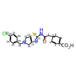 O=C(Cc1ccc(C(=O)O)cc1)Nc1nc2c(s1)CN(Cc1ccc(Cl)cc1)C2